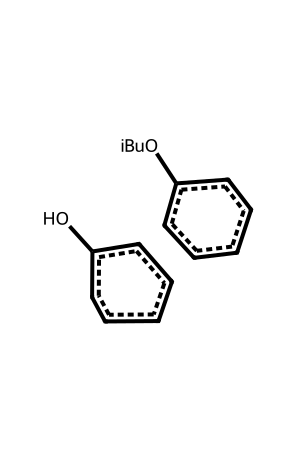 CC(C)COc1ccccc1.Oc1ccccc1